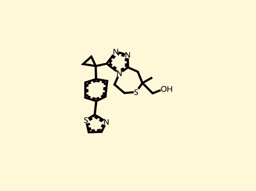 CC1(CO)Cc2nnc(C3(c4ccc(-c5nccs5)cc4)CC3)n2CCS1